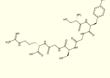 N=C(N)NCCC[C@H](NC(=O)CNC(=O)[C@H](CO)NC(=O)CNC(=O)[C@H](Cc1ccc(O)cc1)NC(=O)[C@@H](N)CO)C(=O)O